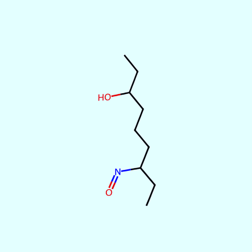 CCC(O)CCCC(CC)N=O